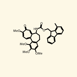 COc1cc2c(c(OC)c1OC)-c1ccc(OC)c(=O)cc1C(NC(=O)OCC1c3ccccc3-c3cccc(C)c31)CC2